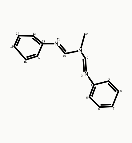 CN(C=Nc1ccccc1)C=Nc1ccccc1